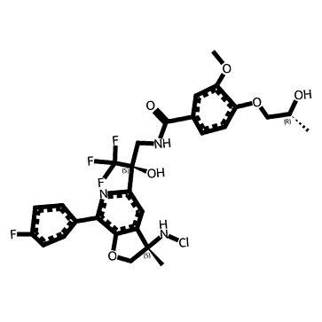 COc1cc(C(=O)NC[C@](O)(c2cc3c(c(-c4ccc(F)cc4)n2)OC[C@@]3(C)NCl)C(F)(F)F)ccc1OC[C@@H](C)O